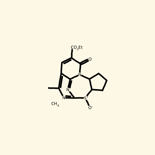 C.CCOC(=O)c1cc2c(C)nc3nc2n(c1=O)C1CCCC1[S+]3[O-]